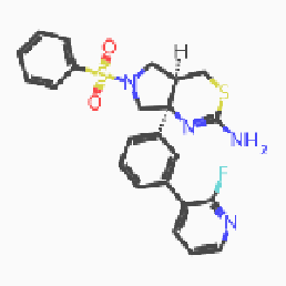 NC1=N[C@@]2(c3cccc(-c4cccnc4F)c3)CN(S(=O)(=O)c3ccccc3)C[C@H]2CS1